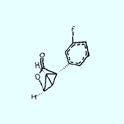 O=C1O[C@@H]2C3[C@@H]2[C@@]13c1cccc(F)c1